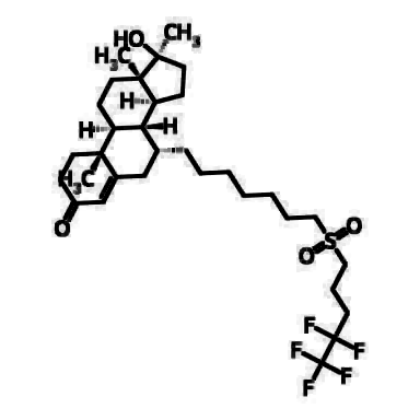 C[C@]12CCC(=O)C=C1C[C@@H](CCCCCCCS(=O)(=O)CCCC(F)(F)C(F)(F)F)[C@@H]1[C@@H]2CC[C@@]2(C)[C@H]1CC[C@]2(C)O